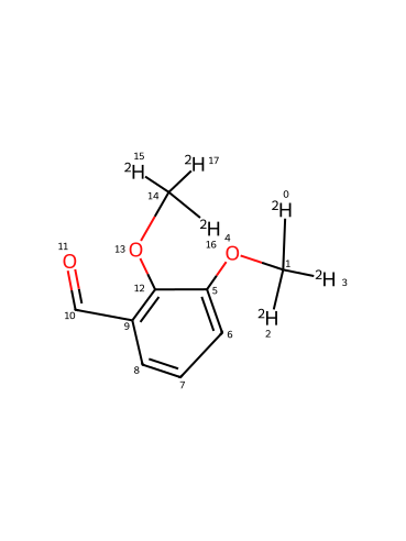 [2H]C([2H])([2H])Oc1cccc(C=O)c1OC([2H])([2H])[2H]